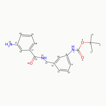 CC(C)(C)OC(=O)Nc1cccc(CNC(=O)c2cccc(N)c2)c1